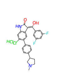 CN1CCC(c2ccc(-c3cc4c(cc3Cl)NC(=O)/C4=C(\O)c3cc(F)cc(F)c3)cc2)C1.Cl